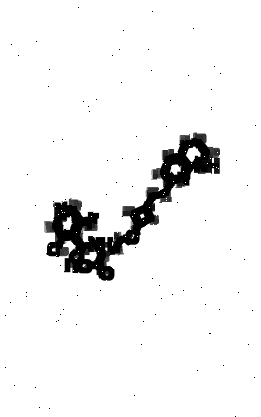 O=C(N[C@H](CCOC1CC(CCc2ccc3c(n2)NCCC3)C1)C(=O)O)c1c(F)cncc1Cl